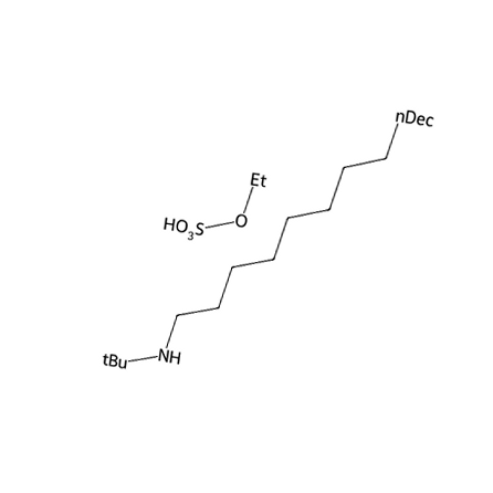 CCCCCCCCCCCCCCCCCCNC(C)(C)C.CCOS(=O)(=O)O